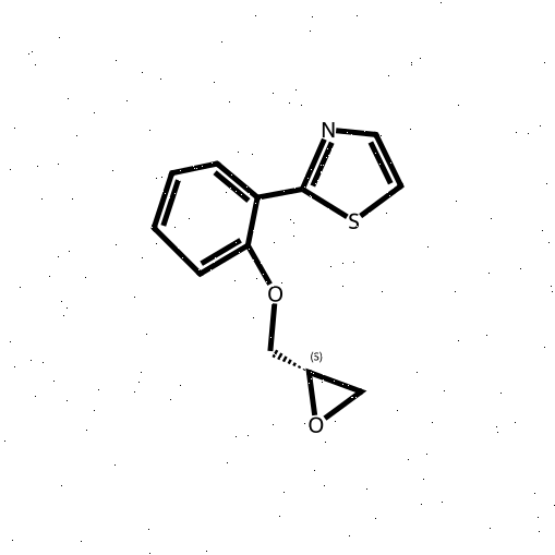 c1ccc(-c2nccs2)c(OC[C@@H]2CO2)c1